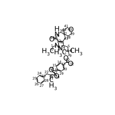 CCn1nc(CC(C)(C)COC(=O)c2ccc(S(=O)(=O)C(C)Cc3ccccc3)cc2)c2c1C(=O)NCC1(CCOCC1)C2